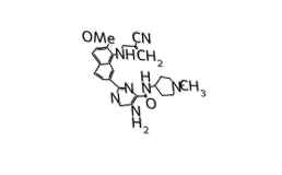 C=C(C#N)CNc1c(OC)ccc2ccc(-c3ncc(N)c(C(=O)NC4CCN(C)CC4)n3)cc12